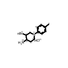 CCCCC1CN(c2ccc(C)cc2)CCC1N.Cl